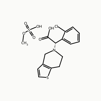 COS(=O)(=O)O.O=C(O)[C@H](c1ccccc1Cl)N1CCc2sccc2C1